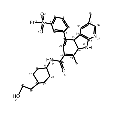 CCS(=O)(=O)c1cccc(C2=CC(C(=O)NC3CCC(CCO)CC3)=C(C)C3Nc4ncc(C)cc4C23)c1